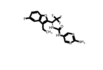 CCc1c([C@@H](NC(=O)Nc2cnc(N)nc2)C(F)(F)F)oc2ccc(F)cc12